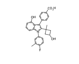 Cc1cc(-n2c(C3(C)CC(O)C3)c(-c3ccc(C(=O)O)cc3)c3c(O)cccc32)ccc1F